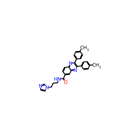 Cc1ccc(-c2nc3ccc(C(=O)NCCCn4ccnc4)cc3nc2-c2ccc(C)cc2)cc1